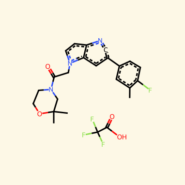 Cc1cc(-c2cnc3ccn(CC(=O)N4CCOC(C)(C)C4)c3c2)ccc1F.O=C(O)C(F)(F)F